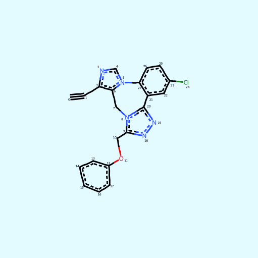 C#Cc1ncn2c1Cn1c(COc3ccccc3)nnc1-c1cc(Cl)ccc1-2